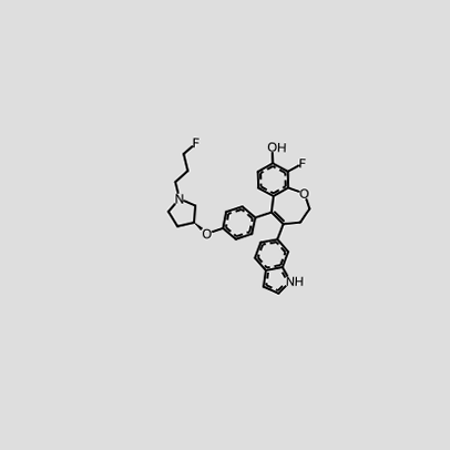 Oc1ccc2c(c1F)OCCC(c1ccc3cc[nH]c3c1)=C2c1ccc(O[C@H]2CCN(CCCF)C2)cc1